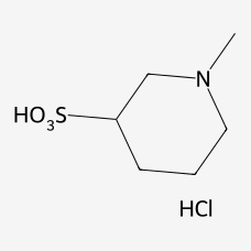 CN1CCCC(S(=O)(=O)O)C1.Cl